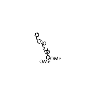 COc1ccc(-c2nc(CSCC(=O)N3CCC(Cc4ccccc4)CC3)c(C)o2)cc1OC